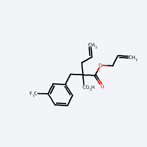 C=CCOC(=O)C(CC=C)(Cc1cccc(C(F)(F)F)c1)C(=O)O